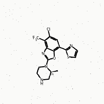 C[C@H]1CNCCN1c1nc2c(C(F)(F)F)c(Cl)cc(-c3nccs3)c2o1